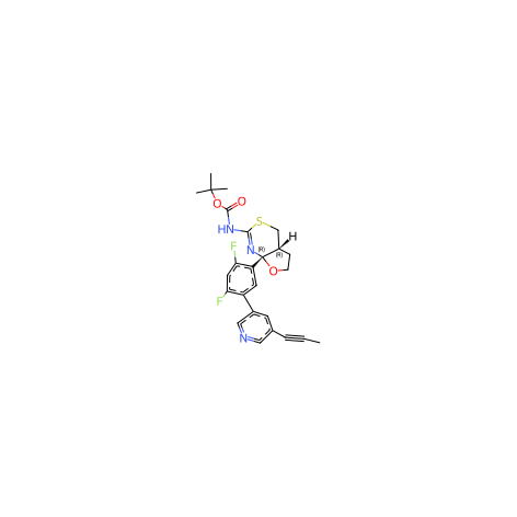 CC#Cc1cncc(-c2cc([C@@]34N=C(NC(=O)OC(C)(C)C)SC[C@@H]3CCO4)c(F)cc2F)c1